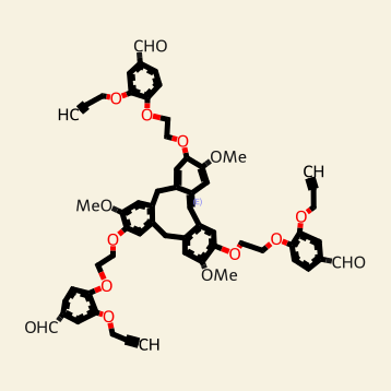 C#CCOc1cc(C=O)ccc1OCCOc1cc2c(cc1OC)Cc1cc(OCCOc3ccc(C=O)cc3OCC#C)c(OC)cc1CC1=CC(OCCOc3ccc(C=O)cc3OCC#C)C(OC)=C/C1=C\2